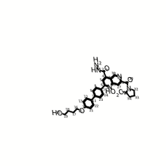 NNC(=O)c1cc(-c2ccc(-c3ccc(OCCCCO)cc3)cc2)nc2cc(C(=O)N3CCC[C@@H]3C(=O)O)ncc12